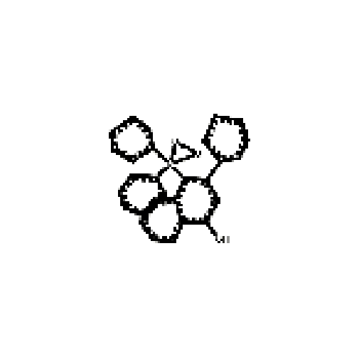 Oc1cc(-c2ccccc2)c(P2(c3ccccc3)(c3ccccc3)OO2)c2ccccc12